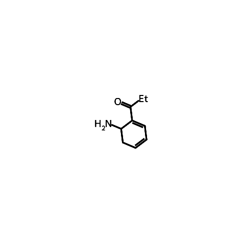 CCC(=O)C1=CC=CCC1N